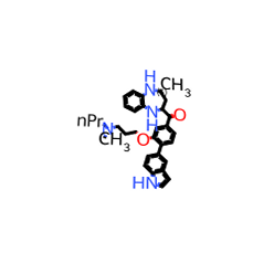 CCCN(C)CCCOc1cc(C(=O)C2C[C@H](C)Nc3ccccc3N2)ccc1-c1ccc2[nH]ccc2c1